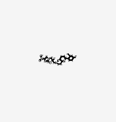 Cc1cc(F)ccc1-c1ccc2c(n1)CCN(CC1(C)Cn3cc([N+](=O)[O-])nc3O1)C2